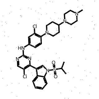 CC(C)S(=O)(=O)n1cc(-c2nc(Nc3ccc(N4CCC(N5CCN(C)CC5)CC4)c(Cl)c3)ncc2Cl)c2ccccc21